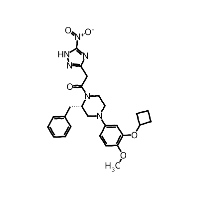 COc1ccc(N2CCN(C(=O)Cc3n[nH]c([N+](=O)[O-])n3)[C@@H](Cc3ccccc3)C2)cc1OC1CCC1